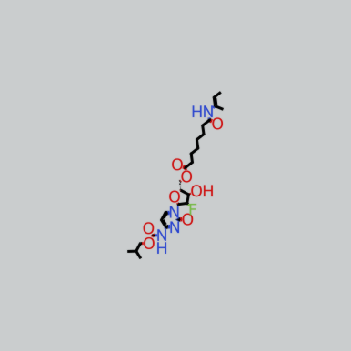 C/C=C(\C)NC(=O)CCCCCCC(=O)OC[C@H]1O[C@@H](n2ccc(NC(=O)OCC(C)C)nc2=O)C(F)[C@@H]1O